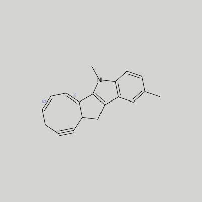 Cc1ccc2c(c1)c1c(n2C)/C2=C/C=C\CC#CC2C1